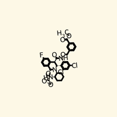 COC(=O)c1cccc(CONC(=O)[C@@H]2c3cc(F)ccc3C(=O)N([C@H]3CCCC[C@@H]3N[SH](=O)=O)[C@H]2c2ccc(Cl)cc2Cl)c1